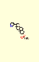 CC(C)(C)C(=O)OC1CCC2(C)C(=CCC3C2CCC2(C)C(c4cccnc4)=CCC32)C1